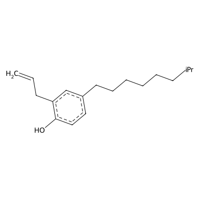 C=CCc1cc(CCCCCCC(C)C)ccc1O